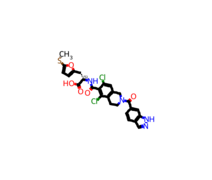 CSc1ccc(C[C@H](NC(=O)c2c(Cl)cc3c(c2Cl)CCN(C(=O)c2ccc4cn[nH]c4c2)C3)C(=O)O)o1